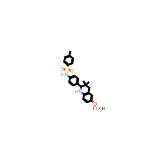 Cc1ccc(S(=O)(=O)Nc2ccc(C3Nc4ccc(OC(=O)O)cc4CC3(C)C)cc2)cc1